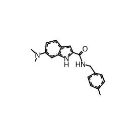 Cc1ccc(CNC(=O)c2cc3ccc(N(C)C)cc3[nH]2)cc1